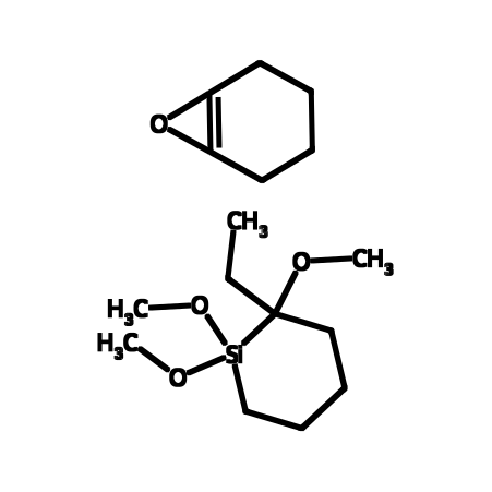 C1CCC2=C(C1)O2.CCC1(OC)CCCC[Si]1(OC)OC